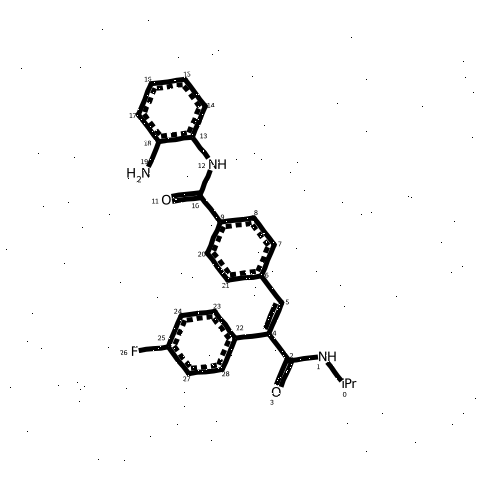 CC(C)NC(=O)/C(=C/c1ccc(C(=O)Nc2ccccc2N)cc1)c1ccc(F)cc1